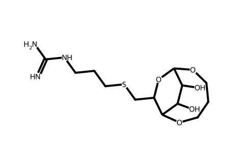 N=C(N)NCCCSCC1OC2OCCCOC1C(O)C2O